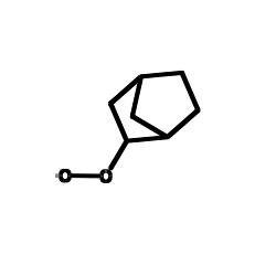 [O]OC1CC2CCC1C2